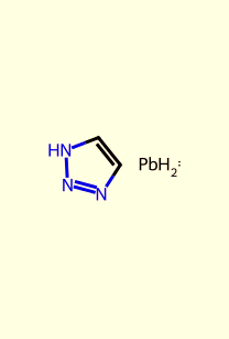 [PbH2].c1c[nH]nn1